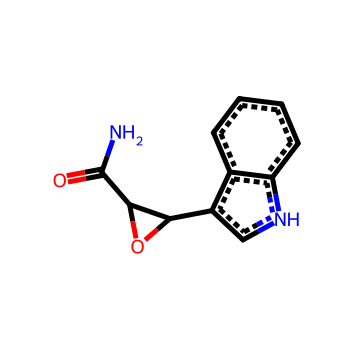 NC(=O)C1OC1c1c[nH]c2ccccc12